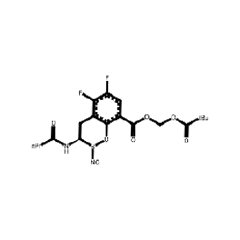 CCCC(=O)N[C@H]1Cc2c(F)c(F)cc(C(=O)OCOC(=O)C(C)(C)C)c2OB1N=O